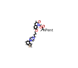 CCCCCC(C)C(=O)OCn1c(=O)ccc2ccc(OCCCCN3CCN(c4cccc5sccc45)CC3)cc21